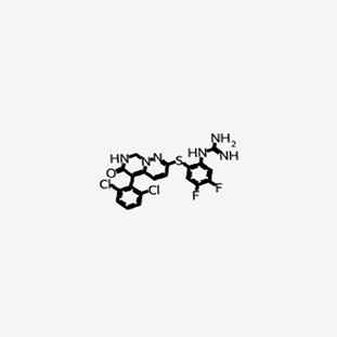 N=C(N)Nc1cc(F)c(F)cc1SC1=NN2CNC(=O)C(c3c(Cl)cccc3Cl)=C2C=C1